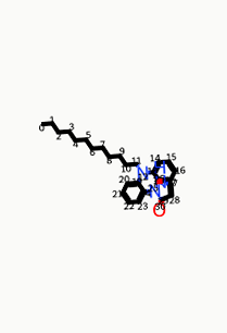 CCCCCCCCCCCCN(c1ccccc1)c1ccccc1-n1[nH]ccc1=O